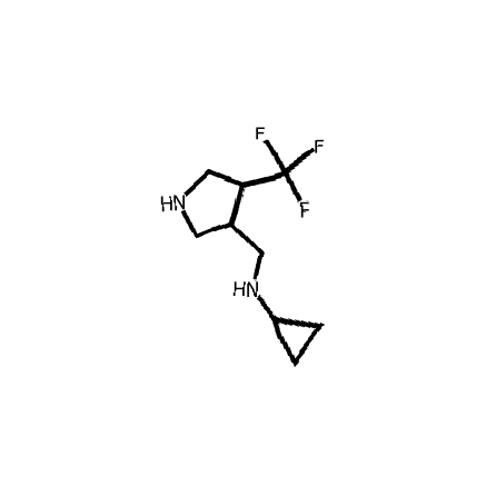 FC(F)(F)C1CNCC1CNC1CC1